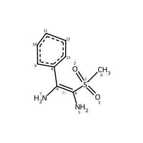 CS(=O)(=O)/C(N)=C(/N)c1ccccc1